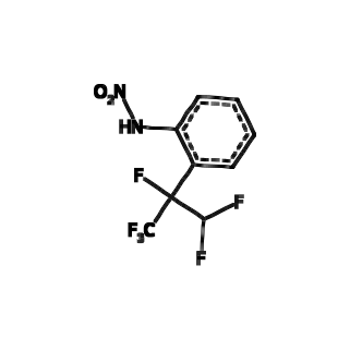 O=[N+]([O-])Nc1ccccc1C(F)(C(F)F)C(F)(F)F